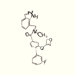 CN(Cc1cccc2cn[nH]c12)C(=O)c1ccc(-c2cccc(F)c2)c(OC2COC2)c1